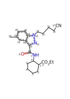 CCOC(=O)C1CCCCC1NC(=O)c1nn(CCCCC#N)c2ccc(C)cc12